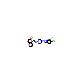 O=c1ccc2ncccc2n1CCN1CCC(NCc2ccc(Br)c(Br)c2)CC1